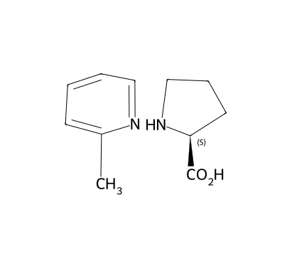 Cc1ccccn1.O=C(O)[C@@H]1CCCN1